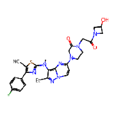 CCc1nn2ccc(N3CCN(CC(=O)N4CC(O)C4)C(=O)C3)nc2c1N(C)c1nc(-c2ccc(F)cc2)c(C#N)s1